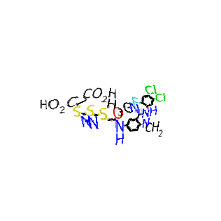 C=Nc1ccc(NC(=O)CSc2nnc(SC(CC(=O)O)C(=O)O)s2)cc1/C(=N\C)Nc1cc(Cl)c(Cl)cc1F